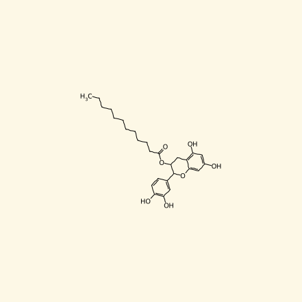 CCCCCCCCCCCC(=O)OC1Cc2c(O)cc(O)cc2OC1c1ccc(O)c(O)c1